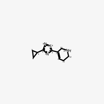 C1=C(c2nc(C3CC3)ns2)CNCC1